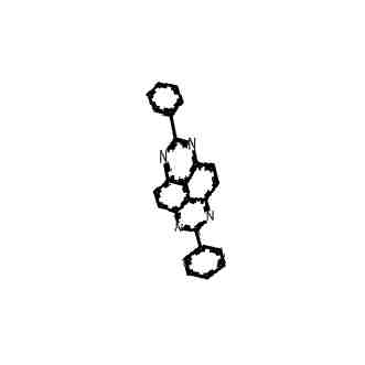 c1ccc(-c2nc3ccc4nc(-c5ccccc5)nc5ccc(n2)c3c45)cc1